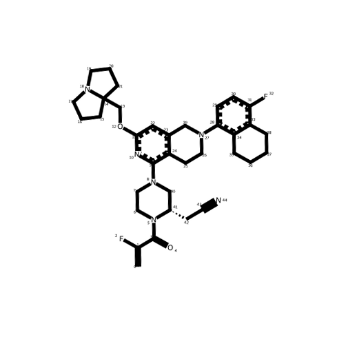 C=C(F)C(=O)N1CCN(c2nc(OCC34CCCN3CCC4)cc3c2CCN(c2ccc(F)c4c2CCCC4)C3)C[C@@H]1CC#N